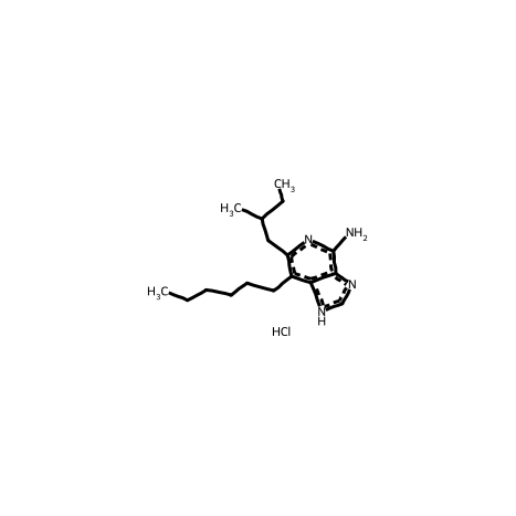 CCCCCCc1c(CC(C)CC)nc(N)c2nc[nH]c12.Cl